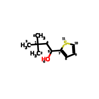 CC(C)(C)CC(O)c1cccs1